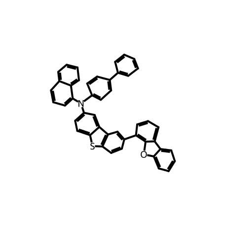 c1ccc(-c2ccc(N(c3ccc4sc5ccc(-c6cccc7c6oc6ccccc67)cc5c4c3)c3cccc4ccccc34)cc2)cc1